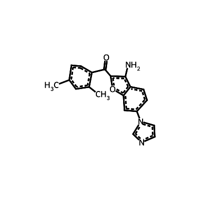 Cc1ccc(C(=O)c2oc3cc(-n4ccnc4)ccc3c2N)c(C)c1